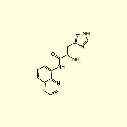 NC(Cc1c[nH]cn1)C(=O)Nc1cccc2cccnc12